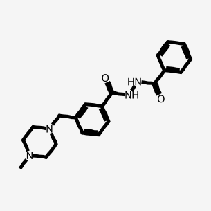 CN1CCN(Cc2cccc(C(=O)NNC(=O)c3ccccc3)c2)CC1